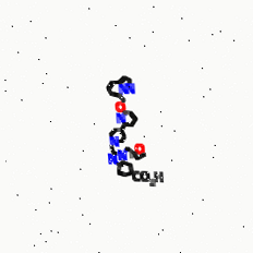 O=C(O)c1ccc2nc(CN3CCC(c4cccc(OCc5cccc6ccnn56)n4)CC3)n(C[C@@H]3CCO3)c2c1